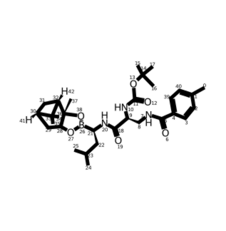 Cc1ccc(C(=O)NC[C@H](NC(=O)OC(C)(C)C)C(=O)N[C@@H](CC(C)C)B2OC3C[C@@H]4C[C@@H](C4(C)C)[C@]3(C)O2)cc1